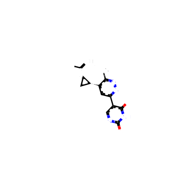 C=C(C)[C@H]1C[C@@H]1c1cc(-c2c[nH]c(=O)[nH]c2=O)nnc1C#N